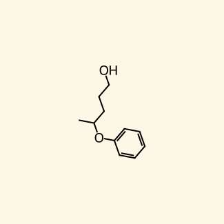 CC(CCCO)Oc1ccccc1